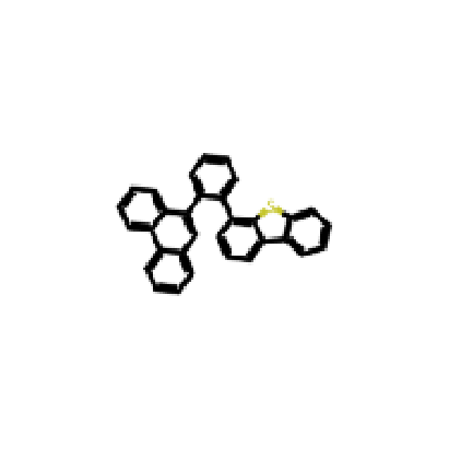 c1ccc(-c2cccc3c2sc2ccccc23)c(-c2cc3ccccc3c3ccccc23)c1